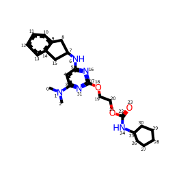 CN(C)c1cc(NC2Cc3ccccc3C2)nc(OCCOC(=O)NC2CCCCC2)n1